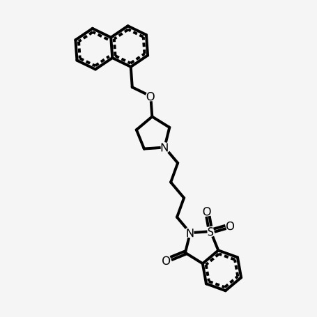 O=C1c2ccccc2S(=O)(=O)N1CCCCN1CCC(OCc2cccc3ccccc23)C1